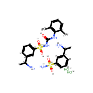 CC(C)c1cccc(C(C)C)c1NC(=O)NS(=O)(=O)c1cccc(C(C)N)c1.CC(N)c1cccc(S(N)(=O)=O)c1.Cl.Cl